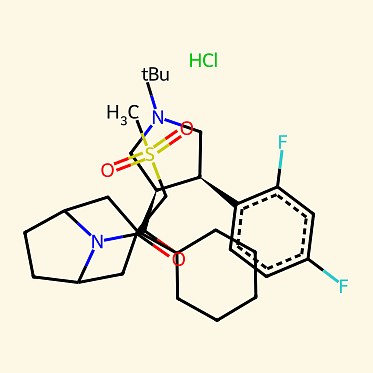 CC(C)(C)N1C[C@H](C(=O)N2C3CCC2CC(CS(C)(=O)=O)(C2CCCCC2)C3)[C@H](c2ccc(F)cc2F)C1.Cl